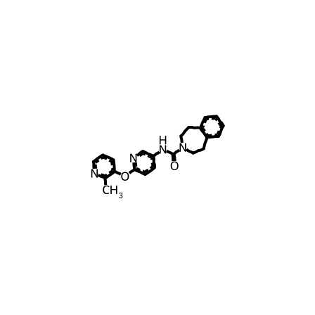 Cc1ncccc1Oc1ccc(NC(=O)N2CCc3ccccc3CC2)cn1